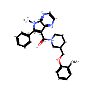 COc1ccccc1OCC1CCCN(C(=O)c2c(-c3ccccc3)n(C)c3nccnc23)C1